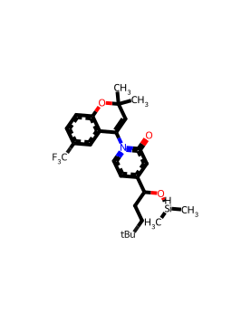 C[SiH](C)OC(CCC(C)(C)C)c1ccn(C2=CC(C)(C)Oc3ccc(C(F)(F)F)cc32)c(=O)c1